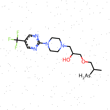 CC([AsH2])COCC(O)CN1CCN(c2ncc(C(F)(F)F)cn2)CC1